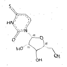 O=c1[nH]c(=S)ccn1[C@@H]1O[C@H](CO)C(O)[C@@H]1O